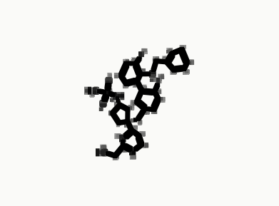 CS(=O)(=O)N[C@H]1CC[C@](Cc2ccc(F)c(-c3cccc(F)c3OCc3ccccc3)c2)(c2ccnc(CO)n2)C1